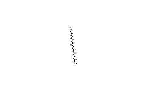 ClCCCCCCCCCCCCCCCCCCCCCBr